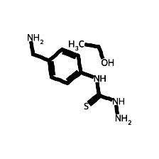 CCO.NCc1ccc(NC(=S)NN)cc1